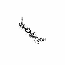 O=S(=O)(NCB(O)O)c1ccc(-c2nn[nH]n2)nc1